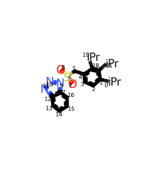 CC(C)c1ccc(CS(=O)(=O)n2nnc3ccccc32)c(C(C)C)c1C(C)C